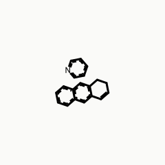 C1=Cc2cc3ccccc3cc2CC1.c1ccncc1